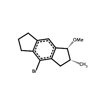 CO[C@H]1c2cc3c(c(Br)c2C[C@H]1C)CCC3